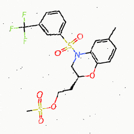 Cc1ccc2c(c1)N(S(=O)(=O)c1cccc(C(F)(F)F)c1)C[C@H](CCOS(C)(=O)=O)O2